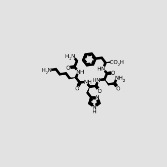 NCCCC[C@@H](NC(=O)CN)C(=O)N[C@H](Cc1c[nH]cn1)C(=O)N[C@H](CC(N)=O)C(=O)N[C@@H](Cc1ccccc1)C(=O)O